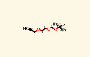 C#CCOCCOCO[Si](C(C)C)(C(C)C)C(C)C